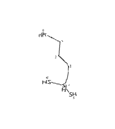 CCCCCC[SiH](S)S